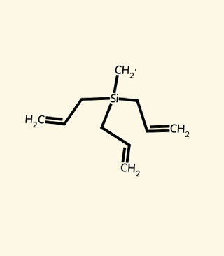 [CH2][Si](CC=C)(CC=C)CC=C